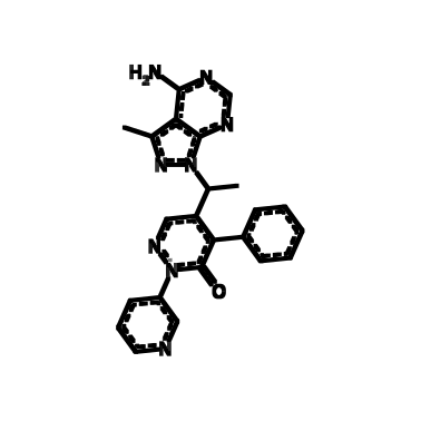 Cc1nn(C(C)c2cnn(-c3cccnc3)c(=O)c2-c2ccccc2)c2ncnc(N)c12